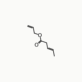 C=CCOC(=O)CC=CC